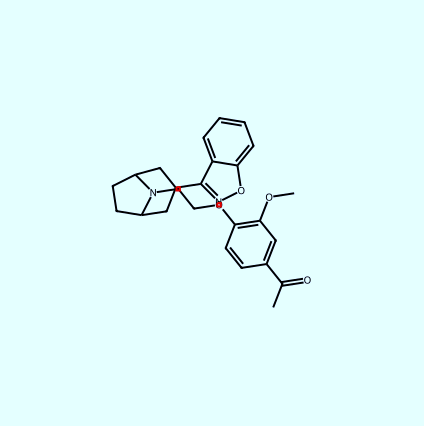 COc1cc(C(C)=O)ccc1OCCN1C2CCC1CC(c1noc3ccccc13)C2